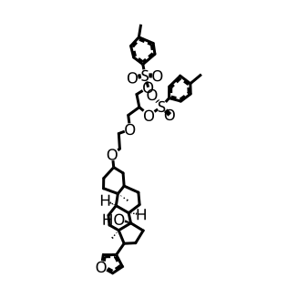 Cc1ccc(S(=O)(=O)OCC(COCCOC2CC[C@@]3(C)C(CC[C@@H]4[C@H]3CC[C@]3(C)C(c5ccoc5)CC[C@@]43O)C2)OS(=O)(=O)c2ccc(C)cc2)cc1